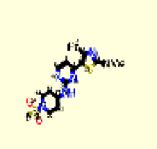 CNc1nc(C(C)C)c(-c2ccnc(NC3CCN(S(C)(=O)=O)CC3)n2)s1